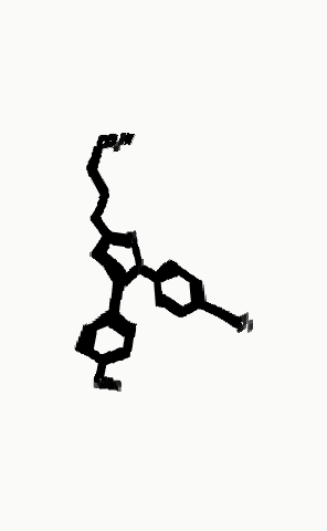 CSc1ccc(-c2cc(CCCC(=O)O)nn2-c2ccc(C(F)(F)F)cc2)cc1